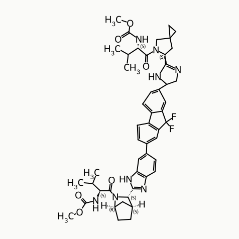 COC(=O)N[C@H](C(=O)N1CC2(CC2)C[C@H]1C1=NCC(c2ccc3c(c2)C(F)(F)c2cc(-c4ccc5nc([C@@H]6[C@H]7CC[C@H](C7)N6C(=O)[C@@H](NC(=O)OC)C(C)C)[nH]c5c4)ccc2-3)N1)C(C)C